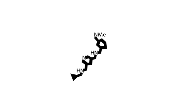 CNCc1cccc(CNCc2cncc(CNCC3CC3)c2)c1